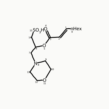 CCCCCC/C=C/C(=O)OC(CN1CCOCC1)CS(=O)(=O)O